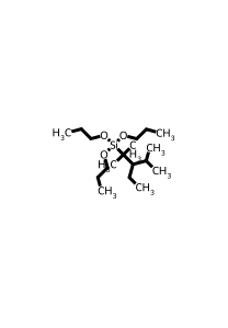 CCCO[Si](OCCC)(OCCC)C(C)(C)C(CC)C(C)C